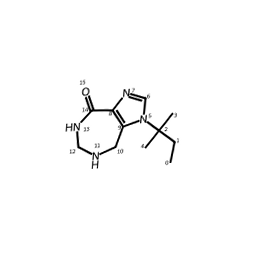 CCC(C)(C)n1cnc2c1CNCNC2=O